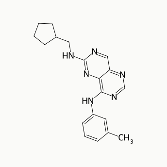 Cc1cccc(Nc2ncnc3cnc(NCC4CCCC4)nc23)c1